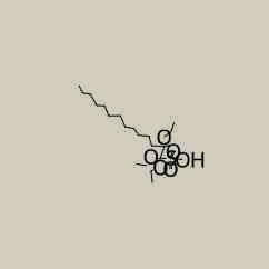 CCCCCCCCCCCCC(C)(OCC)C(OCC)(OCC)S(=O)(=O)O